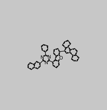 c1ccc(-c2nc(-c3ccc4ccccc4c3)nc(-c3cccc4oc5c(-c6cc7c8ccccc8ccc7c7ccccc67)cccc5c34)n2)cc1